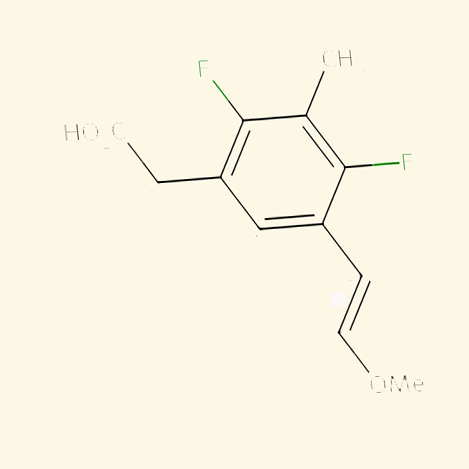 CO/C=C/c1cc(CC(=O)O)c(F)c(C)c1F